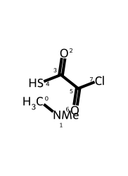 CNC.O=C(S)C(=O)Cl